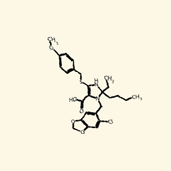 CCCCC1(CC)NC(SCc2ccc(OC)cc2)=C(C(=O)O)N1Cc1cc2c(cc1Cl)OCO2